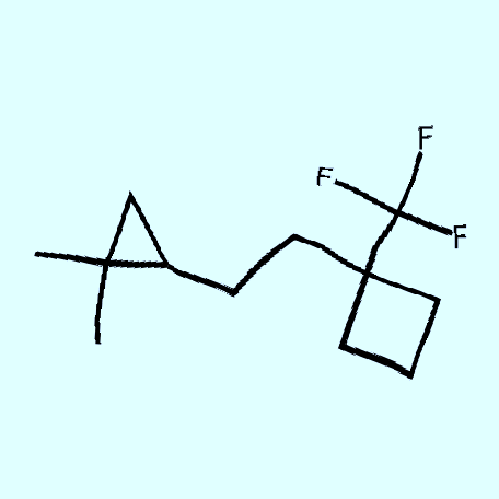 CC1(C)CC1CCC1(C(F)(F)F)CCC1